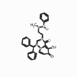 CN(CCN1CN(C(c2ccccc2)c2ccccc2)n2ccc(=O)c(O)c2C1=O)[S+]([O-])c1ccccc1